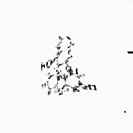 Oc1cc2ccccc2c(O)c1-c1cccc2oc3cc(Cl)ccc3c12